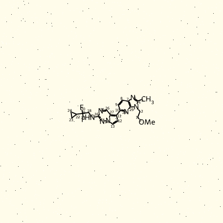 COCCn1c(C)nc2ccc(-c3ccn4nc(NCC(F)(F)C5CC5)ncc34)nc21